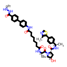 CCCNNC(=O)c1ccc(-c2ccc(NC(=O)CCCCCCC(=O)N[C@H](C(=O)N3C[C@H](O)C[C@H]3C(=O)N[C@@H](C)c3ccc(-c4scnc4C)cc3)C(C)(C)C)cc2)cc1